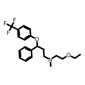 CCOCCN(C)CCC(Oc1ccc(C(F)(F)F)cc1)c1ccccc1